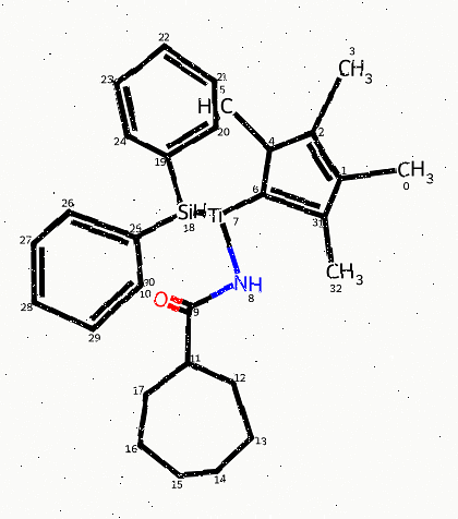 CC1=C(C)C(C)[C]([Ti]([NH]C(=O)C2CCCCCC2)[SiH](c2ccccc2)c2ccccc2)=C1C